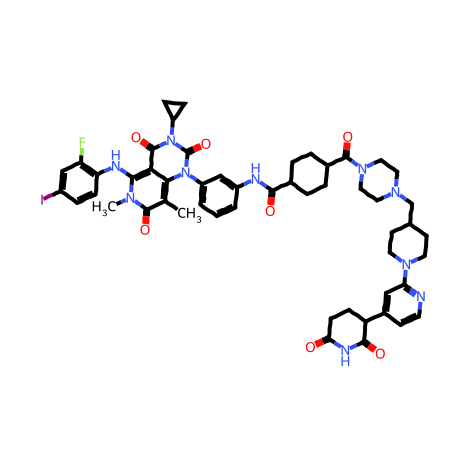 Cc1c(=O)n(C)c(Nc2ccc(I)cc2F)c2c(=O)n(C3CC3)c(=O)n(-c3cccc(NC(=O)C4CCC(C(=O)N5CCN(CC6CCN(c7cc(C8CCC(=O)NC8=O)ccn7)CC6)CC5)CC4)c3)c12